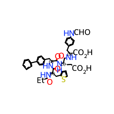 CCC(=O)N[C@H](Cc1cccs1)C(=O)N[C@@H](Cc1ccc(-c2ccccc2)cc1)C(=O)N[C@@H](CCC(=O)O)C(=O)N[C@@H](Cc1ccc(NC=O)cc1)C(=O)O